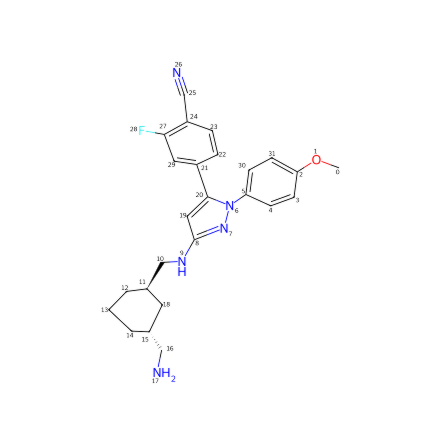 COc1ccc(-n2nc(NC[C@@H]3CCC[C@@H](CN)C3)cc2-c2ccc(C#N)c(F)c2)cc1